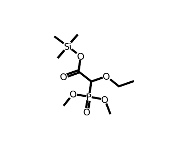 CCOC(C(=O)O[Si](C)(C)C)P(=O)(OC)OC